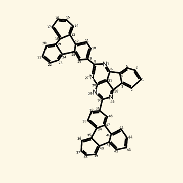 c1ccc2c(c1)-c1nc(-c3ccc4c5ccccc5c5ccccc5c4c3)nc3nc(-c4ccc5c6ccccc6c6ccccc6c5c4)nc-2c13